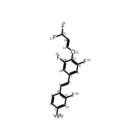 CCCc1ccc(/C=C/c2cc(F)c(O/C=C/C(F)F)c(F)c2)c(F)c1